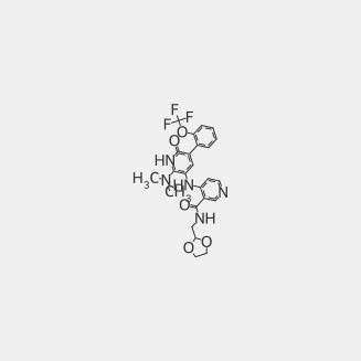 CN(C)c1[nH]c(=O)c(-c2ccccc2OC(F)(F)F)cc1Nc1ccncc1C(=O)NCC1OCCO1